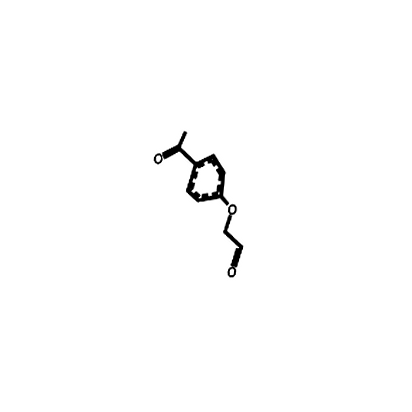 CC(=O)c1ccc(OCC=O)cc1